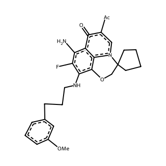 COc1cccc(CCCNc2c(F)c(N)c3c(=O)c(C(C)=O)cn4c3c2OCC42CCCC2)c1